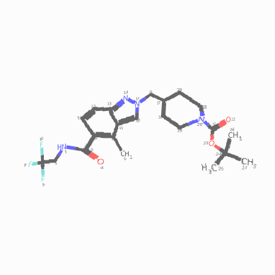 Cc1c(C(=O)NCC(F)(F)F)ccc2nn(CC3CCN(C(=O)OC(C)(C)C)CC3)cc12